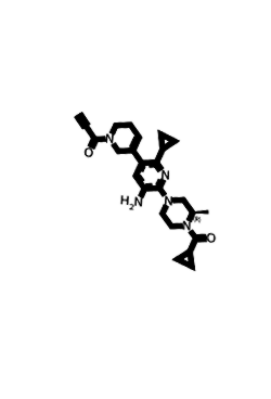 C#CC(=O)N1CCC=C(c2cc(N)c(N3CCN(C(=O)C4CC4)[C@H](C)C3)nc2C2CC2)C1